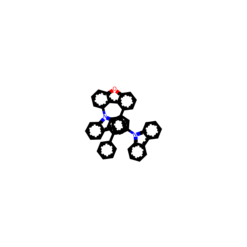 c1ccc(-c2ccc(-c3cccc4oc5cccc(-n6c7ccccc7c7cc(-n8c9ccccc9c9ccccc98)ccc76)c5c34)cc2)cc1